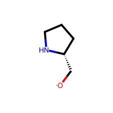 [O]C[C@H]1CCCN1